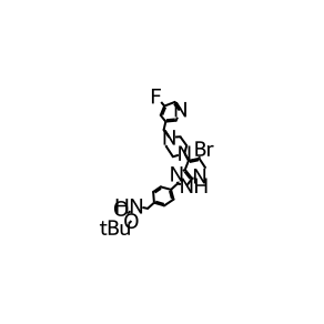 CC(C)(C)OC(=O)NCc1ccc(-c2nc3c(N4CCN(Cc5cncc(F)c5)CC4)c(Br)cnc3[nH]2)cc1